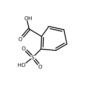 O=C(O)c1[c]cccc1S(=O)(=O)O